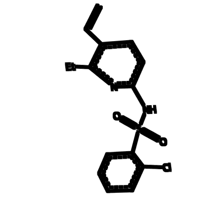 C=Cc1ccc(NS(=O)(=O)c2ccccc2Cl)nc1CC